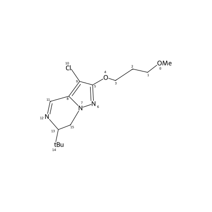 COCCCOc1nn2c(c1Cl)C=NC(C(C)(C)C)C2